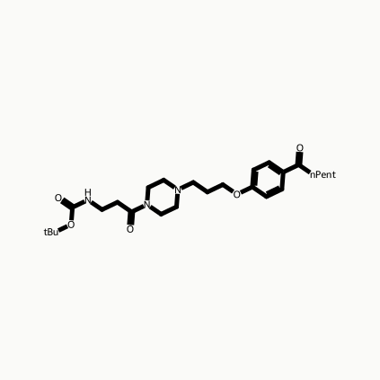 CCCCCC(=O)c1ccc(OCCCN2CCN(C(=O)CCNC(=O)OC(C)(C)C)CC2)cc1